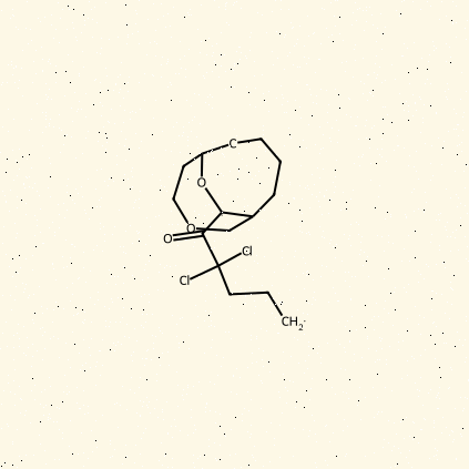 [CH2]CCC(Cl)(Cl)C(=O)[C]1OC2CCCCC1COCC2